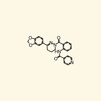 O=C(Nc1ccccc1C(=O)N1CCCC(c2ccc3c(c2)OCO3)=N1)c1ccncc1